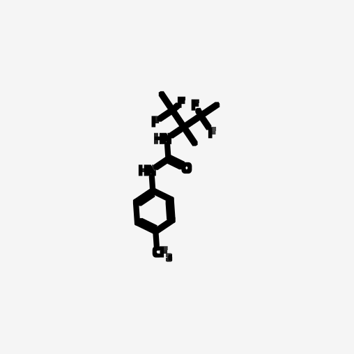 CC(F)(F)C(C)(NC(=O)Nc1ccc(C(F)(F)F)cc1)C(C)(F)F